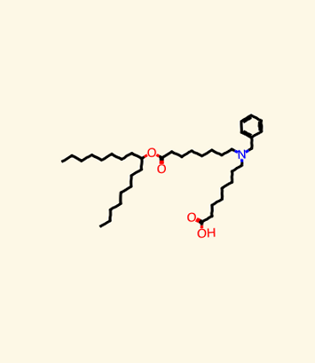 CCCCCCCCC(CCCCCCCC)OC(=O)CCCCCCCN(CCCCCCCC(=O)O)Cc1ccccc1